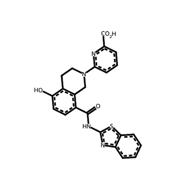 O=C(O)c1cccc(N2CCc3c(O)ccc(C(=O)Nc4nc5ccccc5s4)c3C2)n1